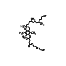 Cc1c(C)c2c(c(C)c1OC(=O)CCC(=O)OCCOCCO)CCC(C)(CCCC(C)CCCC(C)CCCC(C)C)O2